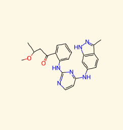 COC(C)CC(=O)c1ccccc1Nc1nccc(Nc2ccc3c(C)n[nH]c3c2)n1